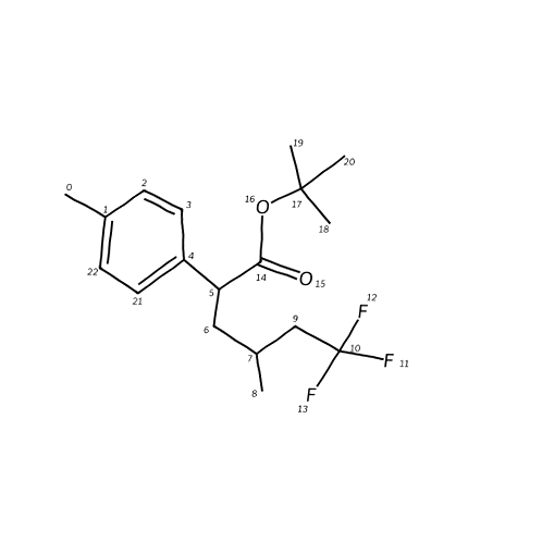 Cc1ccc(C(CC(C)CC(F)(F)F)C(=O)OC(C)(C)C)cc1